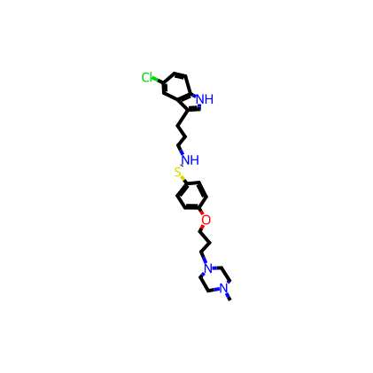 CN1CCN(CCCOc2ccc(SNCCCc3c[nH]c4ccc(Cl)cc34)cc2)CC1